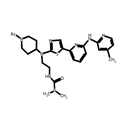 CC(=O)N1CCC(N(CCNC(=O)N(C)C)c2ncc(-c3cccc(Nc4cc(C)ccn4)n3)s2)CC1